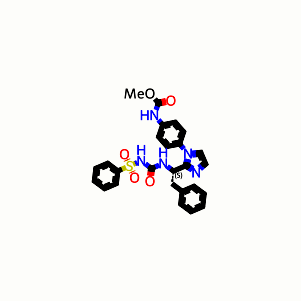 COC(=O)Nc1ccc(-n2ccnc2[C@H](Cc2ccccc2)NC(=O)NS(=O)(=O)c2ccccc2)cc1